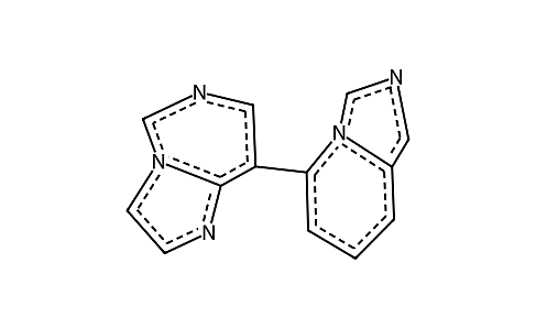 c1cc(-c2cncn3ccnc23)n2cncc2c1